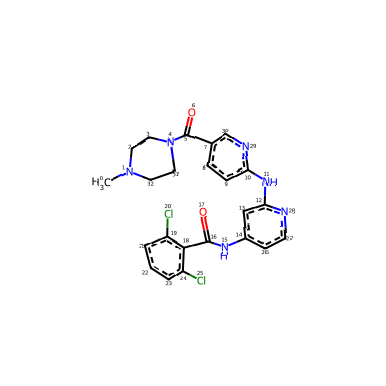 CN1CCN(C(=O)c2ccc(Nc3cc(NC(=O)c4c(Cl)cccc4Cl)ccn3)nc2)CC1